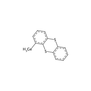 [GeH3][c]1cccc2c1Sc1ccccc1S2